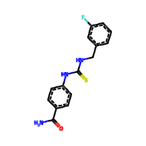 NC(=O)c1ccc(NC(=S)NCc2cccc(F)c2)cc1